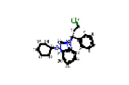 ClCC[C@H](c1ccccc1)N1[CH]N(C2CCCCC2)c2ccccc21